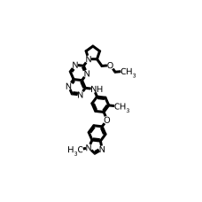 CCOCC1CCCN1c1ncc2ncnc(Nc3ccc(Oc4ccc5c(c4)ncn5C)c(C)c3)c2n1